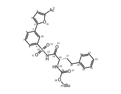 CC(=O)c1ccc(-c2cccc(S(=O)(=O)NC(=O)[C@H](CCc3ccccc3)NC(=O)OC(C)(C)C)c2)o1